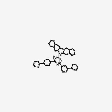 c1ccc(-c2ccc(-c3nc(-c4cccc(-c5ccccc5)c4)nc(-n4c5cc6ccccc6cc5c5cc6ccccc6cc54)n3)cc2)cc1